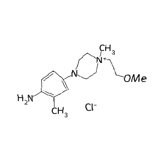 COCC[N+]1(C)CCN(c2ccc(N)c(C)c2)CC1.[Cl-]